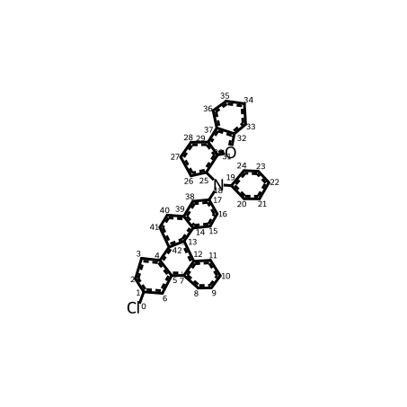 Clc1ccc2c(c1)c1ccccc1c1c3ccc(N(c4ccccc4)c4cccc5c4oc4ccccc45)cc3ccc21